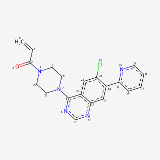 C=CC(=O)N1CCN(c2ncnc3cc(-c4ccccn4)c(Cl)cc23)CC1